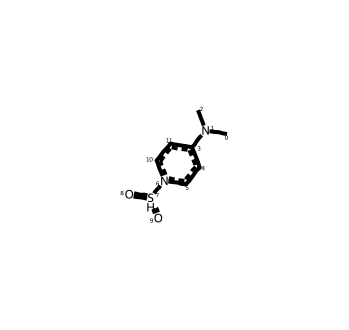 CN(C)c1cc[n+]([SH](=O)=O)cc1